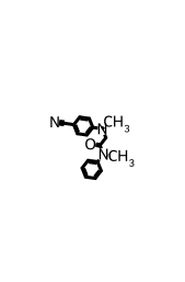 CN(CC(=O)N(C)c1ccccc1)c1ccc(C#N)cc1